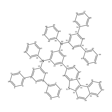 c1ccc(-c2cc(-c3ccccc3)cc(N(c3ccccc3)c3cc(-c4ccc5c(c4)sc4ccc6ccccc6c45)cc(N(c4ccccc4)c4cc(-c5ccccc5)cc(-c5ccccc5)c4)c3)c2)cc1